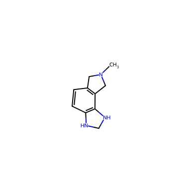 CN1Cc2ccc3c(c2C1)NCN3